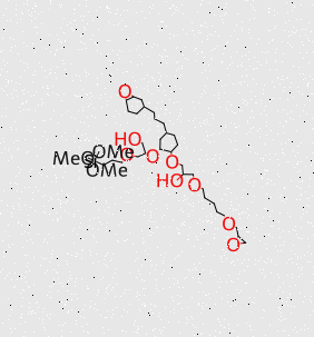 CO[Si](CCCOCC(CO)OC1CC(CCCC2CCC3OC3C2)CCC1OCC(O)COCCCCCOCC1CO1)(OC)OC